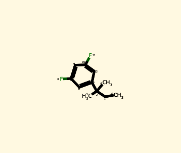 CCC(C)(C)c1cc(F)cc(F)c1